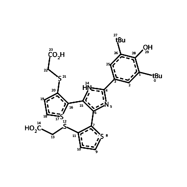 CC(C)(C)c1cc(-c2nc(-c3sccc3SCC(=O)O)c(-c3sccc3SCC(=O)O)[nH]2)cc(C(C)(C)C)c1O